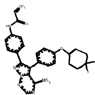 C=CC(=O)Nc1ccc(-c2nn3ncnc(N)c3c2-c2ccc(OC3CCC(F)(F)CC3)cc2)cc1